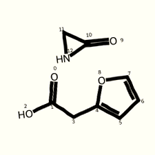 O=C(O)Cc1ccco1.O=C1CN1